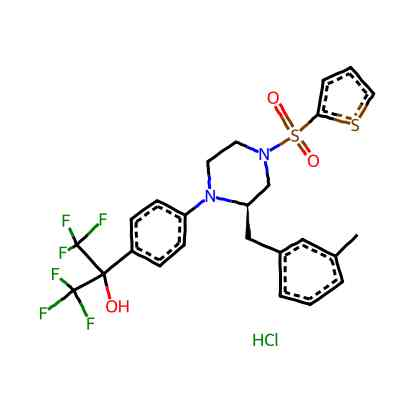 Cc1cccc(C[C@@H]2CN(S(=O)(=O)c3cccs3)CCN2c2ccc(C(O)(C(F)(F)F)C(F)(F)F)cc2)c1.Cl